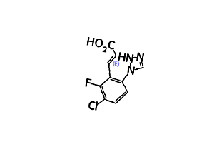 O=C(O)/C=C/c1c(-n2cn[nH]2)ccc(Cl)c1F